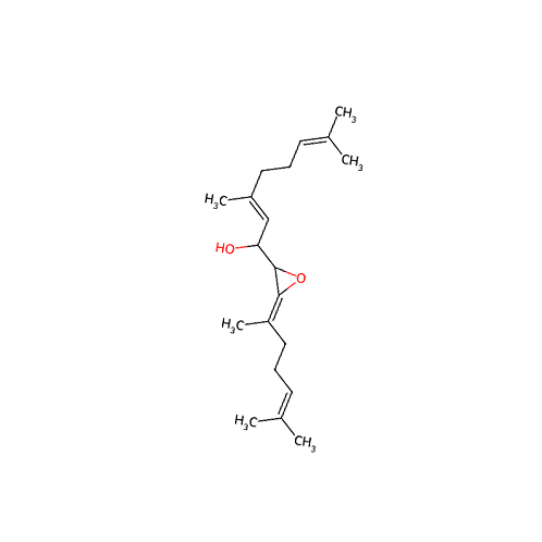 CC(C)=CCC/C(C)=C1\OC1C(O)/C=C(\C)CCC=C(C)C